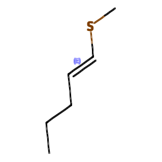 CCC/C=C/SC